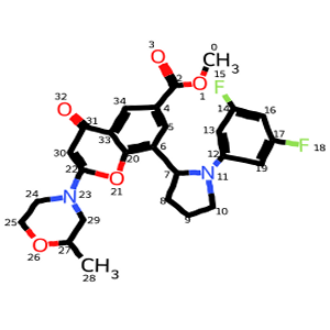 COC(=O)c1cc(C2CCCN2c2cc(F)cc(F)c2)c2oc(N3CCOC(C)C3)cc(=O)c2c1